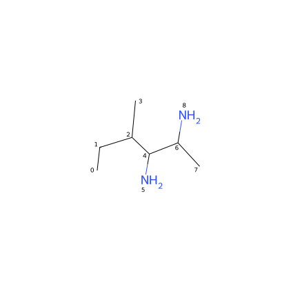 CCC(C)C(N)C(C)N